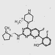 C[C@@H]1CNCCN1c1nc(NC[C@@H]2CCCN2C)nc2nc(-c3c(O)cccc3F)c(F)cc12